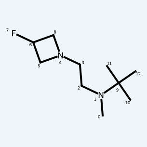 CN(CCN1CC(F)C1)C(C)(C)C